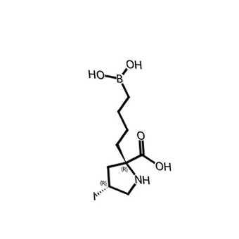 O=C(O)[C@@]1(CCCCB(O)O)C[C@@H](I)CN1